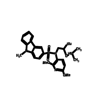 COc1ccc(N(CC(O[SiH](C)C)C(C)(C)C)S(=O)(=O)c2ccc3c(c2)c2ccccc2n3C)c(OC)n1